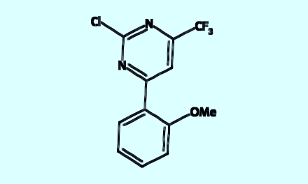 COc1ccccc1-c1cc(C(F)(F)F)nc(Cl)n1